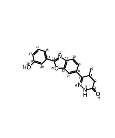 CC1CC(=O)NN=C1c1ccc2nc(-c3cccc(O)c3)oc2c1